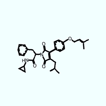 CC(C)=CCOc1ccc(C2=C(CC(C)C)C(=O)N(C(Cc3ccccc3)C(=O)NC3CC3)C2=O)cc1